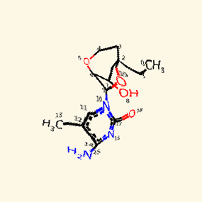 CC[C@]12CCOC(C1O)[C@H](n1cc(C)c(N)nc1=O)O2